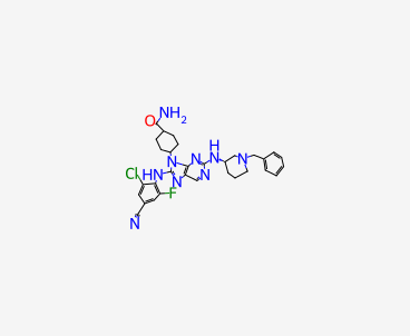 N#Cc1cc(F)c(Nc2nc3cnc(N[C@@H]4CCCN(Cc5ccccc5)C4)nc3n2C2CCC(C(N)=O)CC2)c(Cl)c1